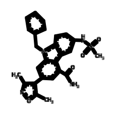 Cc1noc(C)c1-c1cc(C(N)=O)c2c3cc(NS(C)(=O)=O)ccc3n(Cc3ccccc3)c2c1